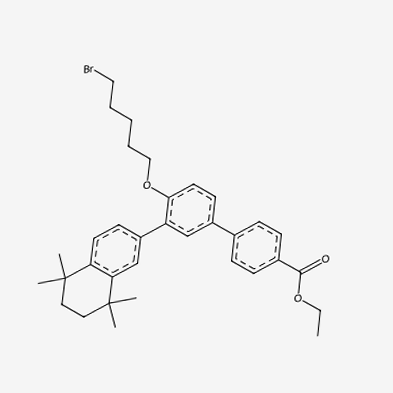 CCOC(=O)c1ccc(-c2ccc(OCCCCCBr)c(-c3ccc4c(c3)C(C)(C)CCC4(C)C)c2)cc1